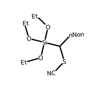 CCCCCCCCCC(SC#N)[Si](OCC)(OCC)OCC